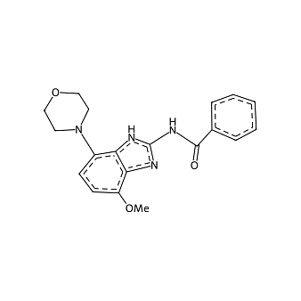 COc1ccc(N2CCOCC2)c2[nH]c(NC(=O)c3ccccc3)nc12